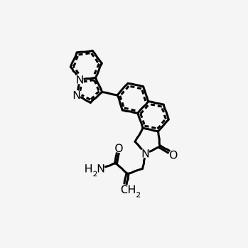 C=C(CN1Cc2c(ccc3ccc(-c4cnn5ccccc45)cc23)C1=O)C(N)=O